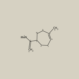 C=C(NC)C1CCC=C(C)CC1